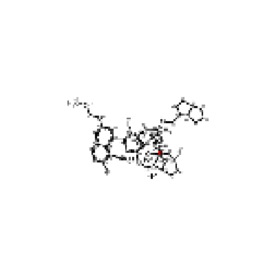 C#Cc1c(F)ccc2cc(OCOC)cc(-c3nc4c5c(nc(OCC6CCC7CCCN76)nc5c3F)N3C[C@H]5CC[C@@H]([C@H]3CO4)N5C(=O)OC(C)(C)C)c12